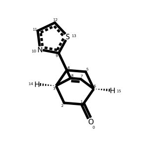 O=C1C[C@H]2CC[C@@H]1C=C2c1nccs1